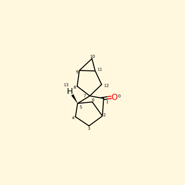 O=C1C2CC[C@@H](C2)C12CC1CC1C2